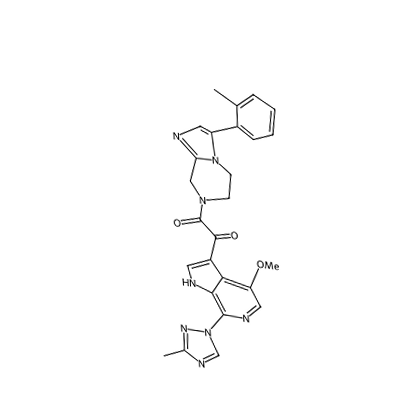 COc1cnc(-n2cnc(C)n2)c2[nH]cc(C(=O)C(=O)N3CCn4c(-c5ccccc5C)cnc4C3)c12